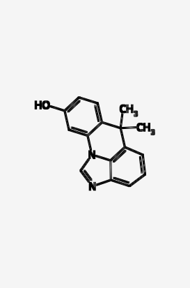 CC1(C)c2ccc(O)cc2-n2cnc3cccc1c32